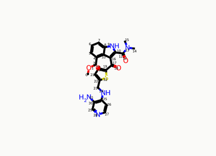 COC(=O)c1cccc2[nH]c(C(=O)N(C)C)c(C(=O)c3ccc(CNc4ccncc4N)s3)c12